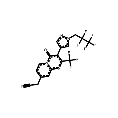 N#CCc1ccn2c(=O)c(-c3cnn(CC(F)(F)C(F)(F)F)c3)c(C(F)(F)F)nc2c1